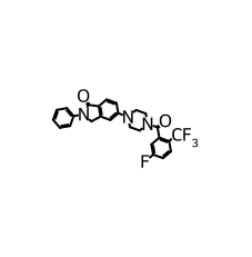 O=C(c1cc(F)ccc1C(F)(F)F)N1CCN(c2ccc3c(c2)CN(c2ccccc2)C3=O)CC1